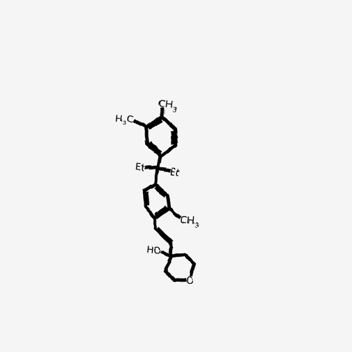 CCC(CC)(c1ccc(C)c(C)c1)c1ccc(/C=C/C2(O)CCOCC2)c(C)c1